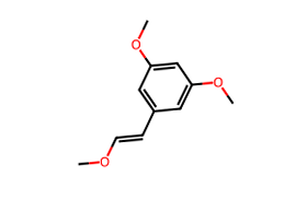 COC=Cc1cc(OC)cc(OC)c1